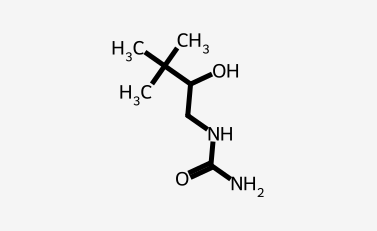 CC(C)(C)C(O)CNC(N)=O